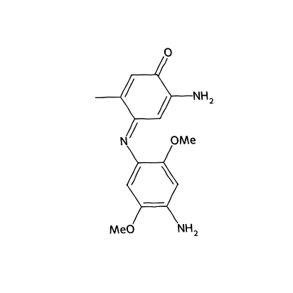 COc1cc(N=C2C=C(N)C(=O)C=C2C)c(OC)cc1N